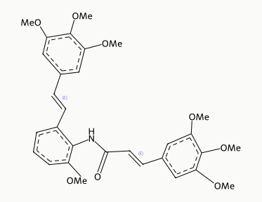 COc1cccc(/C=C/c2cc(OC)c(OC)c(OC)c2)c1NC(=O)/C=C/c1cc(OC)c(OC)c(OC)c1